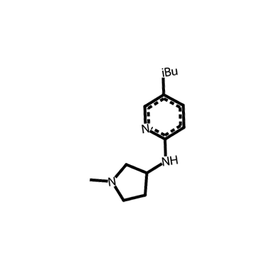 CCC(C)c1ccc(NC2CCN(C)C2)nc1